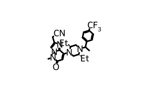 CC[C@H]1CN(C(C)c2ccc(C(F)(F)F)cc2)[C@H](CC)CN1c1cc(=O)n(C)n2cc(CC#N)nc12